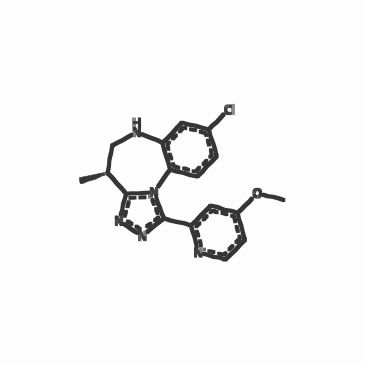 COc1ccnc(-c2nnc3n2-c2ccc(Cl)cc2NC[C@@H]3C)c1